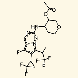 CC(=O)OC1COCCC1Nc1ncc2c(F)c(C3CC3(F)F)c(C(C)C(F)(F)F)n2n1